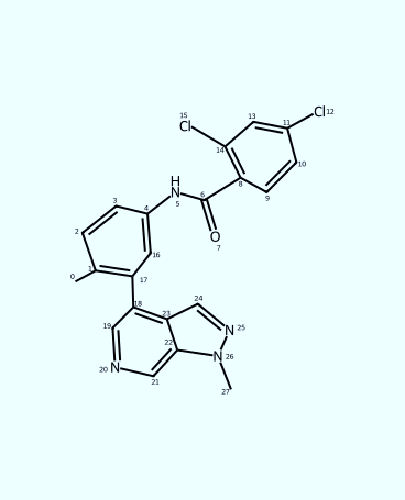 Cc1ccc(NC(=O)c2ccc(Cl)cc2Cl)cc1-c1cncc2c1cnn2C